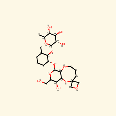 CC1CCC[C@@H](O[C@@H]2OC(CO)[C@H](O)C3OC4(CCCOC32)COC4)C1O[C@@H]1OC(C)[C@@H](O)C(O)[C@@H]1O